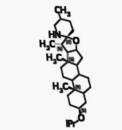 CC1CC[C@@]2(NC1)OC1CC3C4CCC5C[C@@H](OC(C)C)CC[C@]5(C)C4CC[C@]3(C)C1[C@@H]2C